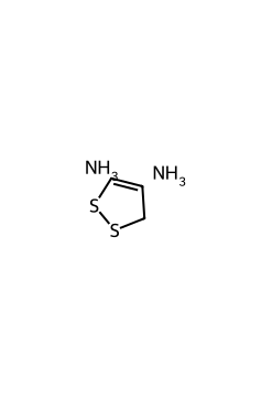 C1=CSSC1.N.N